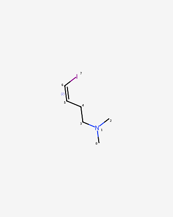 CN(C)CC/C=C\I